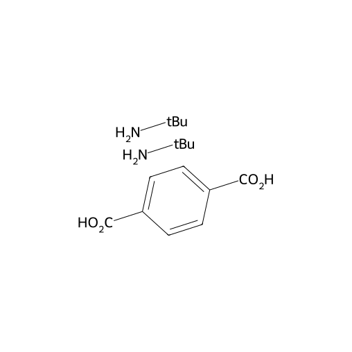 CC(C)(C)N.CC(C)(C)N.O=C(O)c1ccc(C(=O)O)cc1